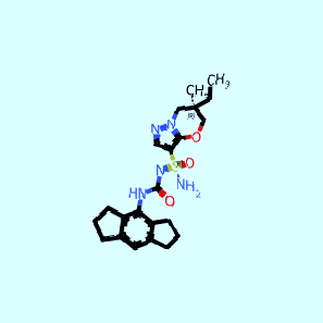 CC[C@@]1(C)COc2c([S@](N)(=O)=NC(=O)Nc3c4c(cc5c3CCC5)CCC4)cnn2C1